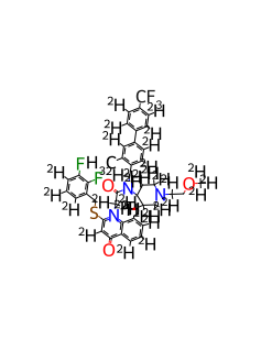 [2H]c1c([2H])c(F)c(F)c(CSc2c([2H])c(=O)c3c([2H])c([2H])c([2H])c([2H])c3n2C([2H])([2H])C(=O)N(C([2H])([2H])c2c([2H])c([2H])c(-c3c([2H])c([2H])c(C(F)(F)F)c([2H])c3[2H])c([2H])c2C)C2([2H])C([2H])([2H])C([2H])([2H])N(C([2H])([2H])COC([2H])([2H])[2H])C([2H])([2H])C2([2H])[2H])c1[2H]